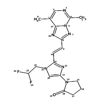 Cc1cnc(C)n2nc(C=Cc3nc(N4CCCC4=O)cn3CC(F)F)nc12